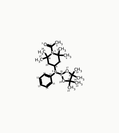 CC(=O)N1C(C)(C)CC(N(c2ccccc2)P2OC(C)(C)C(C)(C)O2)CC1(C)C